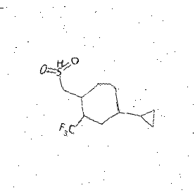 O=[SH](=O)CC1C[CH]C(C2CC2)CC1C(F)(F)F